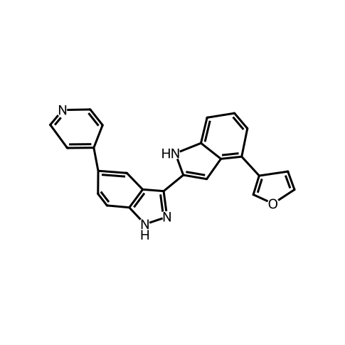 c1cc(-c2ccoc2)c2cc(-c3n[nH]c4ccc(-c5ccncc5)cc34)[nH]c2c1